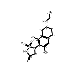 CC(C)CN[C@@H]1CSc2cc(O)c(N3CC(=O)NS3(=O)=O)c(F)c2C1